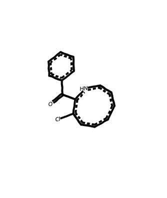 O=C(c1ccccc1)c1[nH]ccccccc1Cl